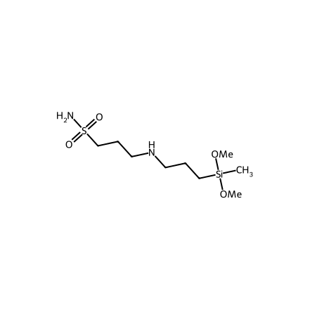 CO[Si](C)(CCCNCCCS(N)(=O)=O)OC